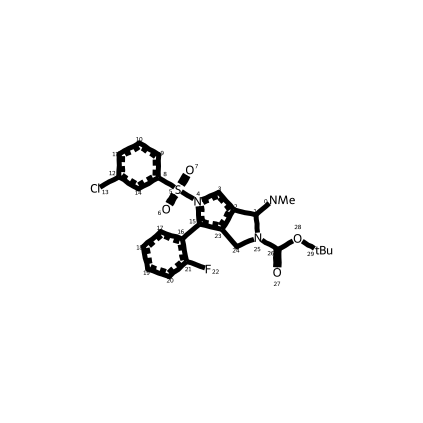 CNC1c2cn(S(=O)(=O)c3cccc(Cl)c3)c(-c3ccccc3F)c2CN1C(=O)OC(C)(C)C